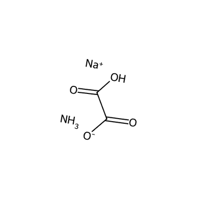 N.O=C([O-])C(=O)O.[Na+]